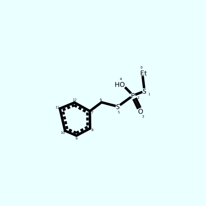 CCSP(=O)(O)SCc1ccccc1